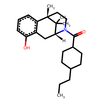 CCCC1CCC(C(=O)N2CC[C@@]3(C)c4cccc(O)c4C[C@@H]2C3(C)C)CC1